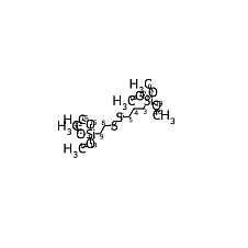 CO[Si](CCCSSCC[Si](OC)(OC)OC)(OC)OC